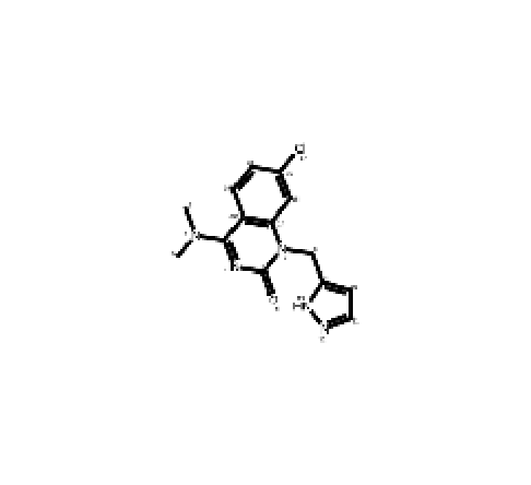 CN(C)c1nc(=O)n(Cc2ccn[nH]2)c2cc(Cl)ccc12